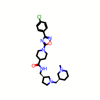 CN1CCC[C@@H](CN2CC[C@@H](CNC(=O)C3CCN(c4nc(-c5ccc(Cl)cc5)no4)CC3)C2)C1